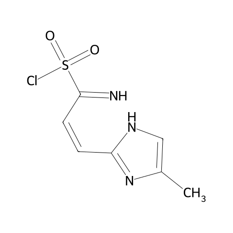 Cc1c[nH]c(/C=C\C(=N)S(=O)(=O)Cl)n1